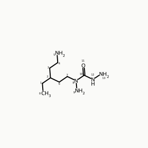 CCC(CCN)CCN(N)C(=O)NN